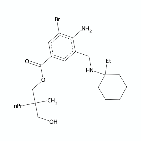 CCCC(C)(CO)COC(=O)c1cc(Br)c(N)c(CNC2(CC)CCCCC2)c1